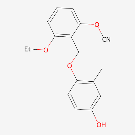 CCOc1cccc(OC#N)c1COc1ccc(O)cc1C